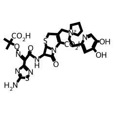 CC(C)(O/N=C(\C(=O)NC1C(=O)N2C(C(=O)O)=C(C[N+]3(CCc4cc(O)c(O)cn4)CCCC3)CSC12)c1nsc(N)n1)C(=O)O